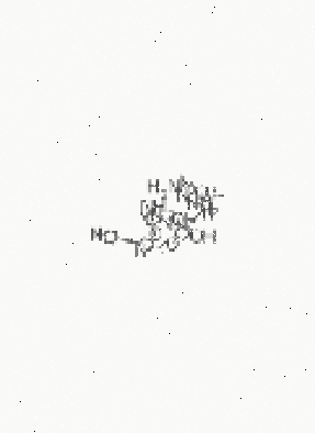 CC(C)c1cnc(C#Cc2c(O)cc(OCC(C)c3cnc(C#Cc4ccc(N(C)C)cc4)cc3Oc3cnc(N)nc3N)cc2O)cc1Oc1cnc(N)nc1N